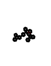 c1ccc(-c2ccccc2N(c2ccc(-c3ccc4c(c3)C3(CCCC3)c3ccccc3-4)cc2)c2ccc3c4ccccc4n(-c4ccccc4)c3c2)cc1